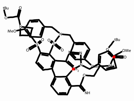 COc1ccc(CN(Cc2ccc(OC)cc2)S(=O)(=O)c2c(S(=O)(=O)C3CN(C(=O)OC(C)(C)C)C3)ccc(-c3cccc(C(=N)OCCNC(=O)OC(C)(C)C)c3N)c2-c2nnn(Cc3ccc(OC)cc3)n2)cc1